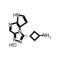 Cl.N[C@H]1C[C@H](c2nnc3cnc4[nH]ccc4n32)C1